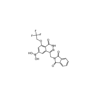 O=C1c2ccccc2C(=O)N1Cc1n[nH]c(=O)c2c(OCC(F)(F)F)cc(B(O)O)cc12